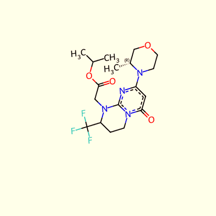 CC(C)OC(=O)CN1c2nc(N3CCOC[C@H]3C)cc(=O)n2CCC1C(F)(F)F